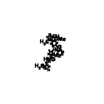 COc1cc(C(=O)N2Cc3ccc(C(=O)NCCC4CCCN4C)n3Cc3ccccc32)ccc1-n1c(C)ccc1C